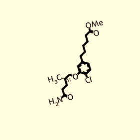 COC(=O)CCCCCc1ccc(Cl)c(OC[C@@H](C)CCC(N)=O)c1